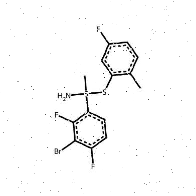 Cc1ccc(F)cc1SS(C)(N)c1ccc(F)c(Br)c1F